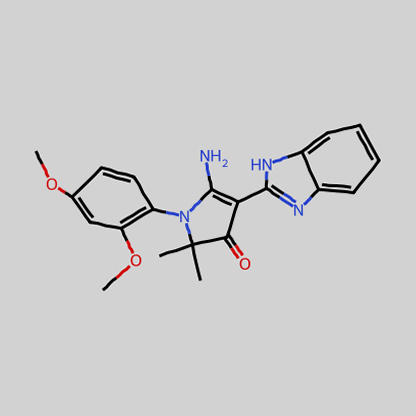 COc1ccc(N2C(N)=C(c3nc4ccccc4[nH]3)C(=O)C2(C)C)c(OC)c1